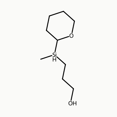 C[SiH](CCCO)C1CCCCO1